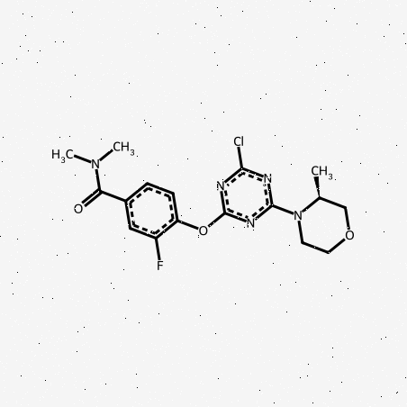 C[C@H]1COCCN1c1nc(Cl)nc(Oc2ccc(C(=O)N(C)C)cc2F)n1